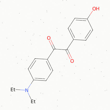 CCN(CC)c1ccc(C(=O)C(=O)c2ccc(O)cc2)cc1